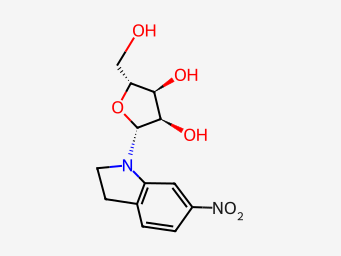 O=[N+]([O-])c1ccc2c(c1)N([C@@H]1O[C@H](CO)[C@@H](O)[C@H]1O)CC2